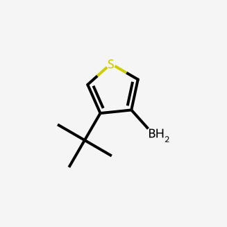 Bc1cscc1C(C)(C)C